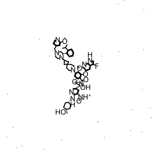 COc1cc(CN2CCN(C3CC4(CCN(c5ccc(C(=O)N(O)[S+]([O-])c6cnc(NC[C@H]7CC[C@@](C)(O)CC7)c([NH+](C)[O-])c6)c(Oc6cc7c(F)c[nH]c7nc6OC)c5)CC4)C3)[C@H](c3ccccc3C(C)C)C2)ccn1